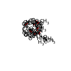 CCCCOn1c2ccc(c1=O)OCCCN1CCCOc3ccc(n(OCCCC)c3=O)C(=O)NCCN(CCNC2=O)CCN2CCNC(=O)c3ccc(c(=O)n3OCCCC)OCCCN(CCCOc3ccc(n(OCCCC)c3=O)C(=O)NC(CCCCNC(=O)OC(C)(C)C)C2)C(=O)C1=O